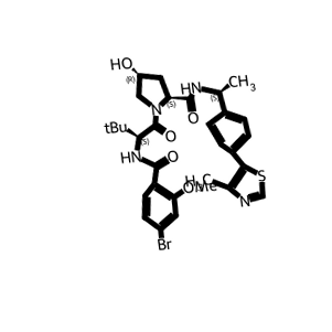 COc1cc(Br)ccc1C(=O)N[C@H](C(=O)N1C[C@H](O)C[C@H]1C(=O)N[C@@H](C)c1ccc(-c2scnc2C)cc1)C(C)(C)C